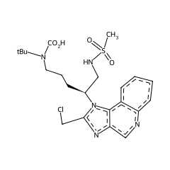 CC(C)(C)N(CCC[C@@H](CNS(C)(=O)=O)n1c(CCl)nc2cnc3ccccc3c21)C(=O)O